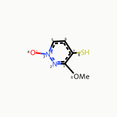 COc1n[n+]([O-])ccc1S